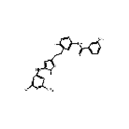 Cc1nc(Cl)cc(Nc2cc(CCc3cc(NC(=O)c4cccc(C(F)(F)F)c4)ccc3F)n[nH]2)n1